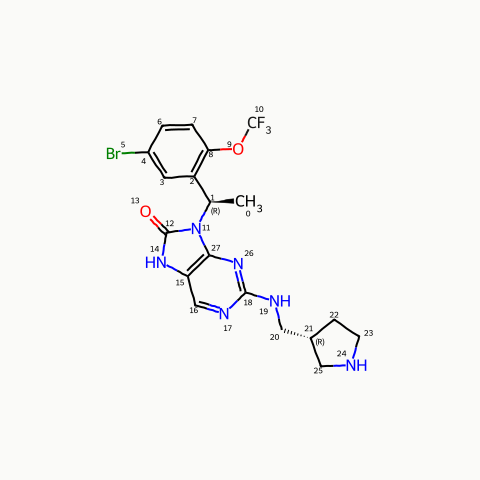 C[C@H](c1cc(Br)ccc1OC(F)(F)F)n1c(=O)[nH]c2cnc(NC[C@@H]3CCNC3)nc21